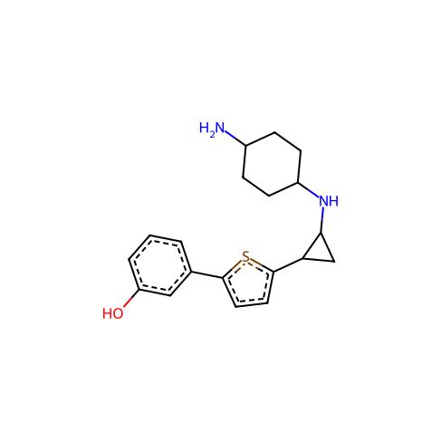 NC1CCC(NC2CC2c2ccc(-c3cccc(O)c3)s2)CC1